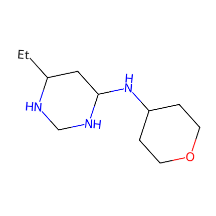 CCC1CC(NC2CCOCC2)NCN1